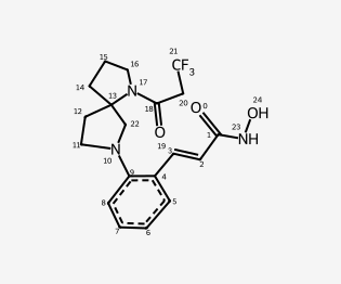 O=C(C=Cc1ccccc1N1CCC2(CCCN2C(=O)CC(F)(F)F)C1)NO